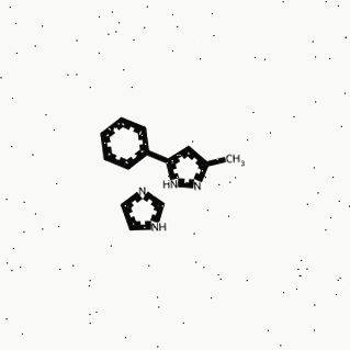 Cc1cc(-c2ccccc2)[nH]n1.c1c[nH]cn1